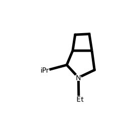 CCN1CC2CCC2C1C(C)C